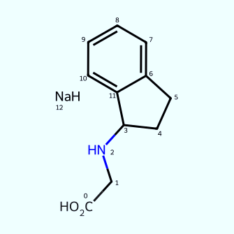 O=C(O)CNC1CCc2ccccc21.[NaH]